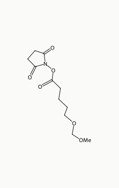 COCOCCCCC(=O)ON1C(=O)CCC1=O